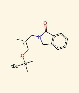 C[C@@H](CO[Si](C)(C)C(C)(C)C)CN1Cc2ccccc2C1=O